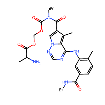 CCCN(C(=O)OCOC(=O)C(C)N)C(=O)c1cn2ncnc(Nc3cc(C(=O)NCC)ccc3C)c2c1C